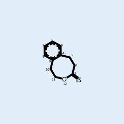 S=C1CCc2ccccc2CCO1